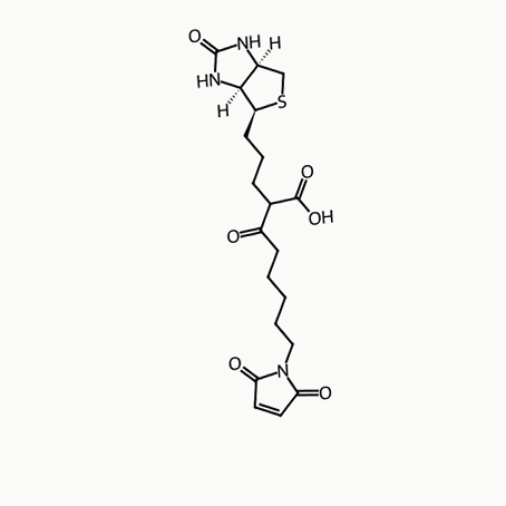 O=C1N[C@H]2[C@H](CS[C@H]2CCCC(C(=O)O)C(=O)CCCCCN2C(=O)C=CC2=O)N1